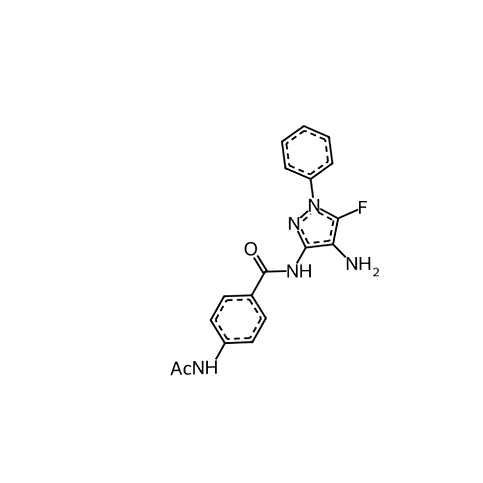 CC(=O)Nc1ccc(C(=O)Nc2nn(-c3ccccc3)c(F)c2N)cc1